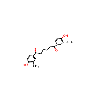 Cc1cc(C(=O)CCCCC(=O)c2ccc(O)c(C)c2)ccc1O